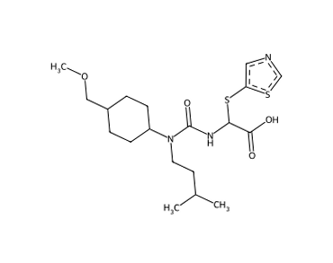 COCC1CCC(N(CCC(C)C)C(=O)NC(Sc2cncs2)C(=O)O)CC1